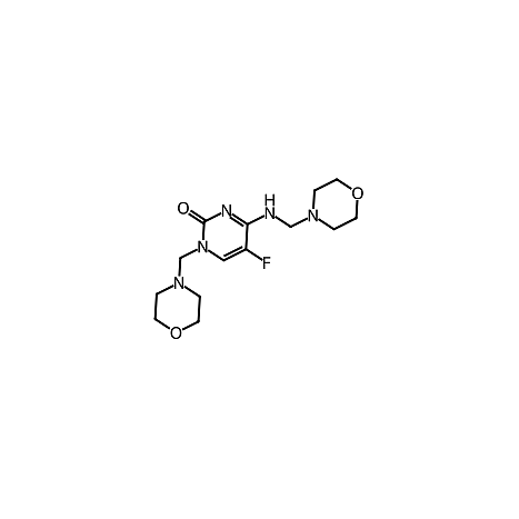 O=c1nc(NCN2CCOCC2)c(F)cn1CN1CCOCC1